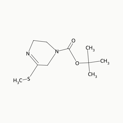 CSC1=NCCN(C(=O)OC(C)(C)C)C1